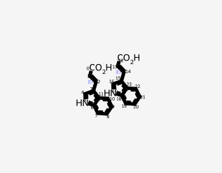 O=C(O)/C=C/c1c[nH]c2ccccc12.O=C(O)/C=C/c1c[nH]c2ccccc12